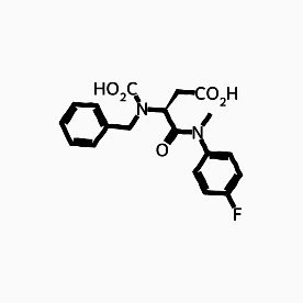 CN(C(=O)[C@H](CC(=O)O)N(Cc1ccccc1)C(=O)O)c1ccc(F)cc1